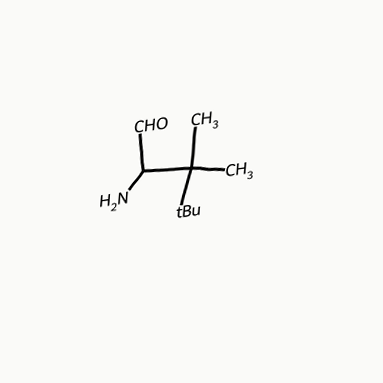 CC(C)(C)C(C)(C)C(N)C=O